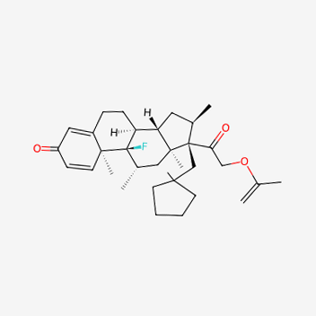 C=C(C)OCC(=O)[C@@]1(CC2(C)CCCC2)[C@H](C)C[C@H]2[C@@H]3CCC4=CC(=O)C=C[C@]4(C)[C@@]3(F)[C@@H](C)C[C@@]21C